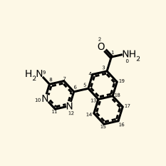 NC(=O)c1cc(-c2cc(N)ncn2)c2ccccc2c1